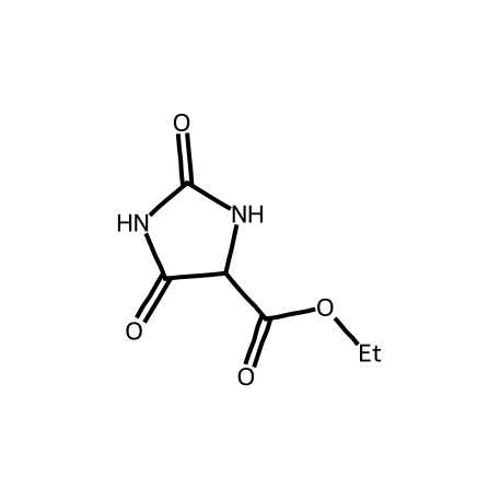 CCOC(=O)C1NC(=O)NC1=O